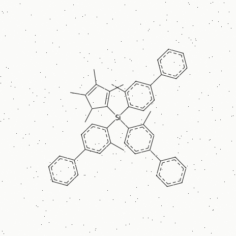 CC1=C(C)C(C)C([Si](c2ccc(-c3ccccc3)cc2C)(c2ccc(-c3ccccc3)cc2C)c2ccc(-c3ccccc3)cc2C)=C1C